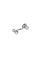 O=C1CCCN1CC#CCn1ccnc1Cl